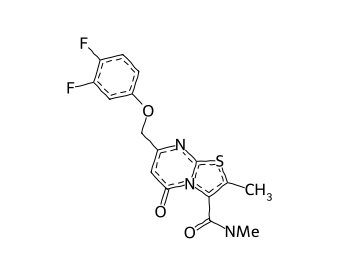 CNC(=O)c1c(C)sc2nc(COc3ccc(F)c(F)c3)cc(=O)n12